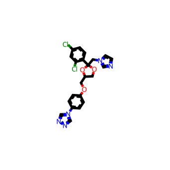 Clc1ccc(C2(Cn3ccnc3)OCC(COc3ccc(-n4cnnc4)cc3)O2)c(Cl)c1